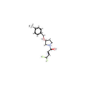 O=C(/C=C/C(F)F)N1CCC(OCc2ccc(C(F)(F)F)cc2)C1